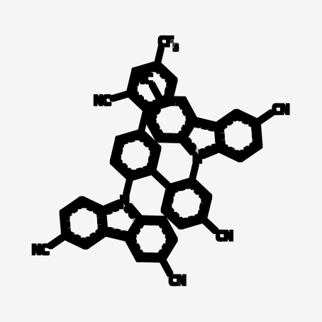 N#Cc1ccc(-c2cc(-c3ccc(C(F)(F)F)cc3C#N)ccc2-n2c3ccc(C#N)cc3c3cc(C#N)ccc32)c(-n2c3ccc(C#N)cc3c3cc(C#N)ccc32)c1